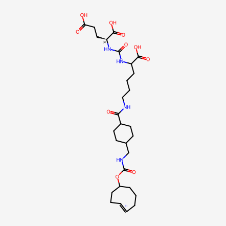 O=C(O)CC[C@H](NC(=O)NC(CCCCNC(=O)C1CCC(CNC(=O)OC2CC/C=C/CCC2)CC1)C(=O)O)C(=O)O